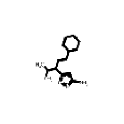 CC(C)C(CCC1CCCCC1)c1cc(N)no1